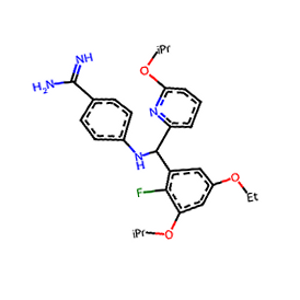 CCOc1cc(OC(C)C)c(F)c(C(Nc2ccc(C(=N)N)cc2)c2cccc(OC(C)C)n2)c1